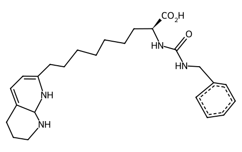 O=C(NCc1ccccc1)N[C@@H](CCCCCCCC1=CC=C2CCCNC2N1)C(=O)O